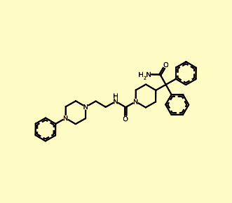 NC(=O)C(c1ccccc1)(c1ccccc1)C1CCN(C(=O)NCCN2CCN(c3ccccc3)CC2)CC1